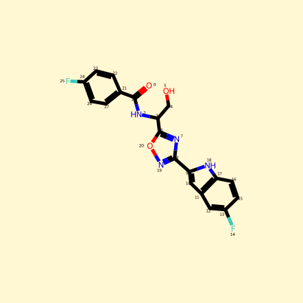 O=C(NC(CO)c1nc(-c2cc3cc(F)ccc3[nH]2)no1)c1ccc(F)cc1